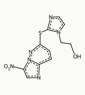 O=[N+]([O-])c1cnc2ccc(Sc3nccn3CCO)nn12